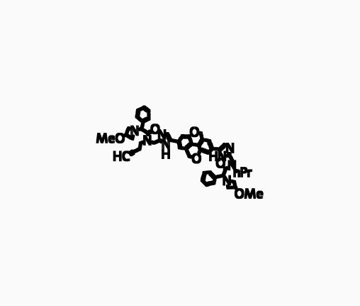 C#CCCN(Cc1ncc(-c2cc3c4c(c2)OCc2cc(-c5cnc(CN(CCC)C(=O)C(c6ccccc6)N6CC(OC)C6)[nH]5)cc(c2-4)OC3)[nH]1)C(=O)C(c1ccccc1)N1CC(OC)C1